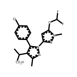 Cc1nn(-c2cc(OC(F)F)n(C)n2)c(-c2ccc(Cl)cc2)c1C(C)C(=O)O